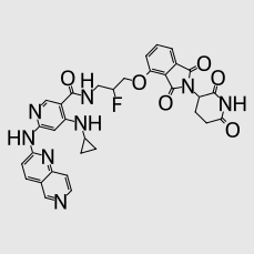 O=C1CCC(N2C(=O)c3cccc(OCC(F)CNC(=O)c4cnc(Nc5ccc6cnccc6n5)cc4NC4CC4)c3C2=O)C(=O)N1